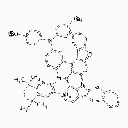 Cc1cc2c(cc1N1B3c4c(cc5oc6ccccc6c5c4-c4cc(N(c5ccc(C(C)(C)C)cc5)c5ccc(C(C)(C)C)cc5)ccc41)-n1c4cc5ccccc5cc4c4cccc3c41)C(C)(C)CCC2(C)C